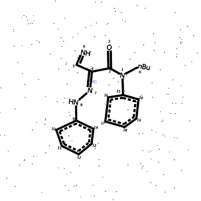 CCCCN(C(=O)/C(C=N)=N/Nc1ccccc1)c1ccccc1